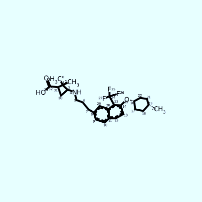 CC1(C)C(NCCCc2ccc3ccc(O[C@H]4CC[C@@H](C)CC4)c(C(F)(F)F)c3c2)CC1C(=O)O